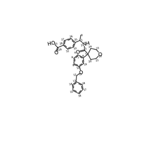 CC(NC(=O)C1(c2cccc(OCc3ccccc3)c2)CCOCC1)c1ccc(C(=O)O)cc1